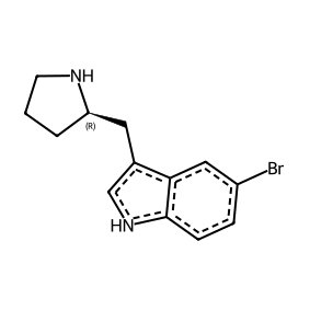 Brc1ccc2[nH]cc(C[C@H]3CCCN3)c2c1